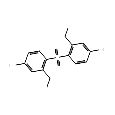 CC(C)Cc1cc(O)ccc1S(=O)(=O)c1ccc(O)cc1CC(C)C